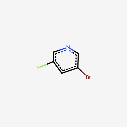 Fc1cn[c]c(Br)c1